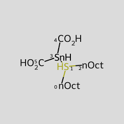 CCCCCCCC[SH](CCCCCCCC)[SnH]([C](=O)O)[C](=O)O